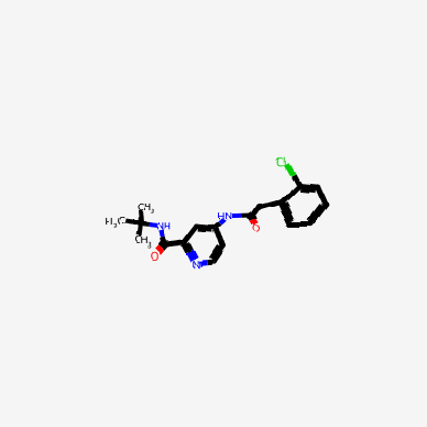 CC(C)(C)NC(=O)c1cc(NC(=O)Cc2ccccc2Cl)ccn1